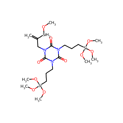 C=C(Cn1c(=O)n(CCC[Si](OC)(OC)OC)c(=O)n(CCC[Si](OC)(OC)OC)c1=O)[SiH2]OC